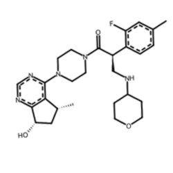 Cc1ccc([C@@H](CNC2CCOCC2)C(=O)N2CCN(c3ncnc4c3[C@H](C)C[C@@H]4O)CC2)c(F)c1